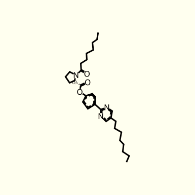 CCCCCCCCc1cnc(-c2ccc(OC(=O)[C@@H]3CCCN3C(=O)CCCCCCC)cc2)nc1